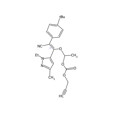 C#CCOC(=O)OC(C)O/C(=C(/C#N)c1ccc(C(C)(C)C)cc1)c1cc(C)nn1CC